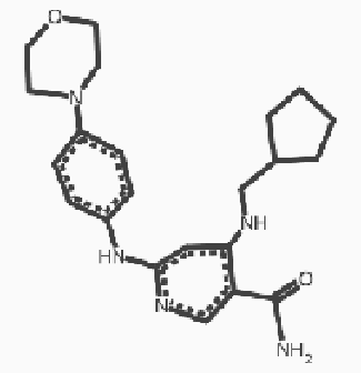 NC(=O)c1cnc(Nc2ccc(N3CCOCC3)cc2)cc1NCC1CCCC1